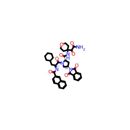 NC(=O)C(=O)C1(NC(=O)[C@@H]2C[C@H](N3C(=O)c4ccccc4C3=O)CN2C(=O)/C(CC2CCCCC2)=N/C(=O)c2ccc3ccccc3c2)CCOCC1